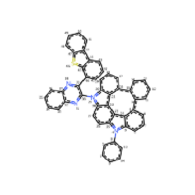 c1ccc(-n2c3cccc4c5ccccc5c5cccc6c5c5c(c43)c2ccc5n6-c2nc3ccccc3nc2-c2cccc3c2sc2ccccc23)cc1